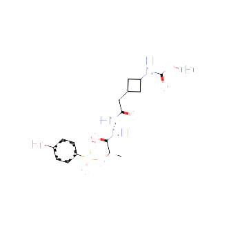 C[C@@H](OS(=O)(=O)c1ccc(Br)cc1)C(=O)NNC(=O)CC1CC(NC(=O)OC(C)(C)C)C1